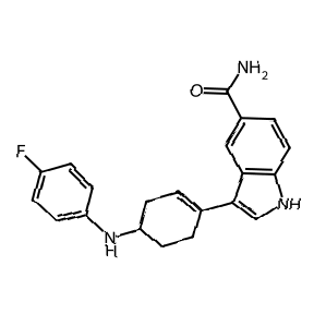 NC(=O)c1ccc2[nH]cc(C3=CCC(Nc4ccc(F)cc4)CC3)c2c1